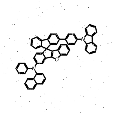 c1ccc(N(c2ccc3c(c2)-c2oc4ccccc4c2C32c3ccccc3-c3ccc(-c4ccc(-n5c6ccccc6c6ccccc65)cc4)cc32)c2cccc3ccccc23)cc1